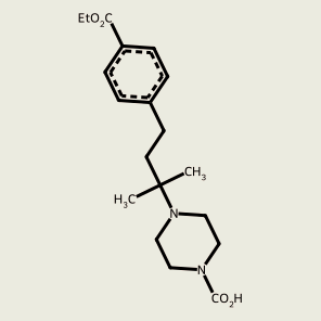 CCOC(=O)c1ccc(CCC(C)(C)N2CCN(C(=O)O)CC2)cc1